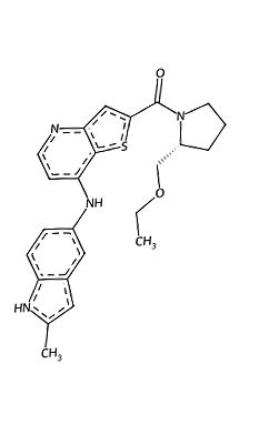 CCOC[C@H]1CCCN1C(=O)c1cc2nccc(Nc3ccc4[nH]c(C)cc4c3)c2s1